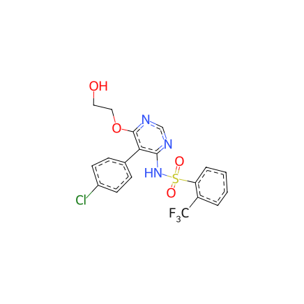 O=S(=O)(Nc1ncnc(OCCO)c1-c1ccc(Cl)cc1)c1ccccc1C(F)(F)F